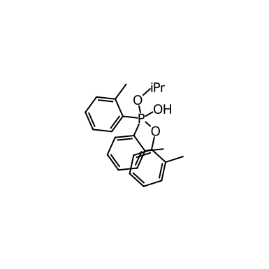 Cc1ccccc1OP(O)(OC(C)C)(c1ccccc1C)c1ccccc1C